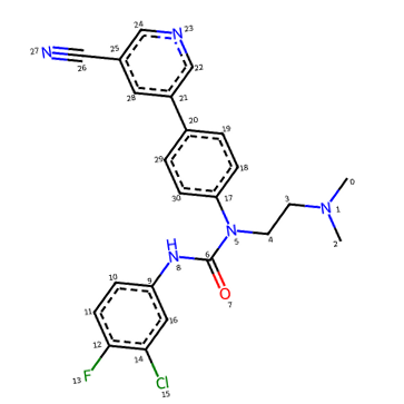 CN(C)CCN(C(=O)Nc1ccc(F)c(Cl)c1)c1ccc(-c2cncc(C#N)c2)cc1